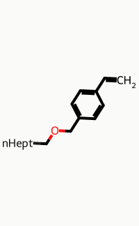 C=Cc1ccc(COCCCCCCCC)cc1